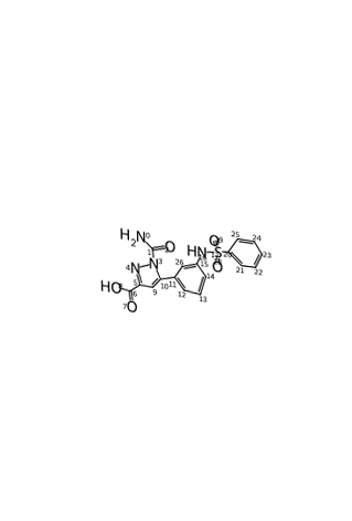 NC(=O)n1nc(C(=O)O)cc1-c1cccc(NS(=O)(=O)c2ccccc2)c1